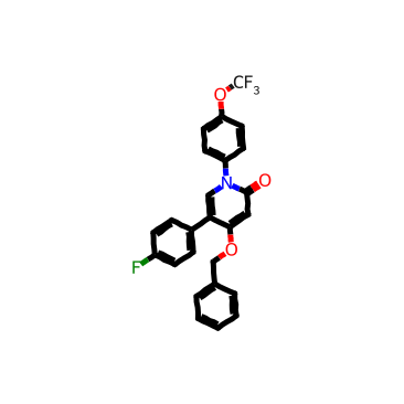 O=c1cc(OCc2ccccc2)c(-c2ccc(F)cc2)cn1-c1ccc(OC(F)(F)F)cc1